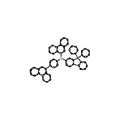 c1ccc(C2(c3ccccc3)c3ccccc3-c3ccc(N(c4ccc(-c5cc6ccccc6c6ccccc56)cc4)c4cc5ccccc5c5ccccc45)cc32)cc1